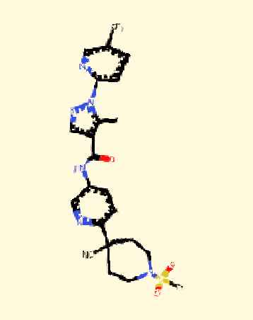 CCS(=O)(=O)N1CCC(C#N)(c2ccc(NC(=O)c3cnn(-c4ccc(C(F)(F)F)cn4)c3C)cn2)CC1